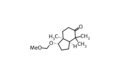 COCO[C@H]1CC[C@@H]2C(C)(C)C(=O)CC[C@]12C